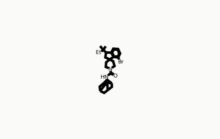 CCC(C)(C)C1CC2(CCN(C(=O)NC3C4CC5CC(C4)CC3C5)CC2)c2c(Br)cccc21